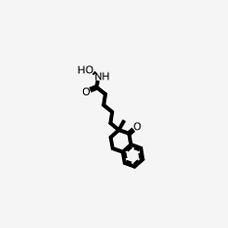 CC1(CCCCC(=O)NO)CCc2ccccc2C1=O